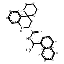 CC(NC(=O)[C@H]1CC2(OCCCO2)c2ccccc2O1)c1cccc2ccccc12